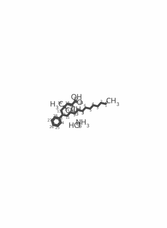 CCCCCCCCCCCCC(CC(C)(C)C=C(C)C(=O)O)c1ccccc1.Cl.N